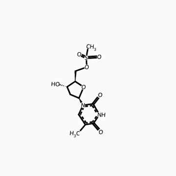 Cc1cn([C@H]2C[C@H](O)[C@@H](COS(C)(=O)=O)O2)c(=O)[nH]c1=O